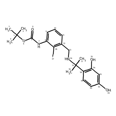 CC(C)(C)OC(=O)Nc1cccc(CNC(C)(C)c2ccc(O)cc2O)c1F